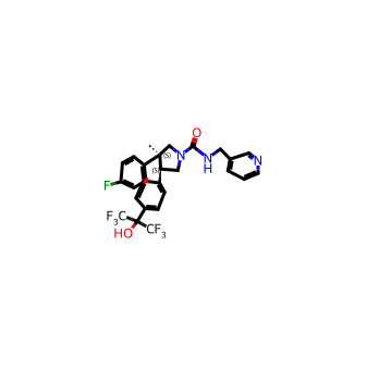 C[C@]1(c2ccc(F)cc2)CN(C(=O)NCc2cccnc2)C[C@H]1c1ccc(C(O)(C(F)(F)F)C(F)(F)F)cc1